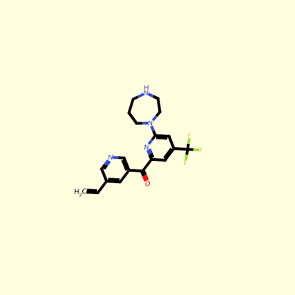 C=Cc1cncc(C(=O)c2cc(C(F)(F)F)cc(N3CCCNCC3)n2)c1